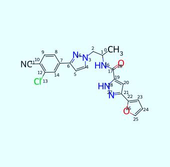 CC(Cn1ccc(-c2ccc(C#N)c(Cl)c2)n1)NC(=O)c1cc(-c2ccco2)n[nH]1